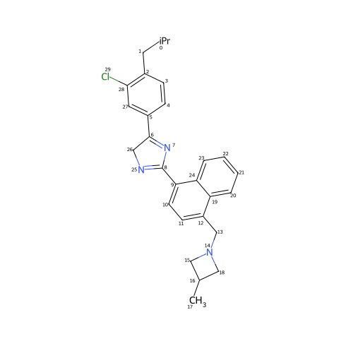 CC(C)Cc1ccc(C2=NC(c3ccc(CN4CC(C)C4)c4ccccc34)=NC2)cc1Cl